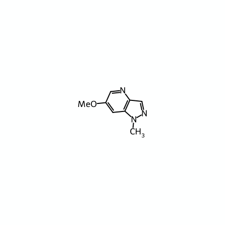 COc1cnc2cnn(C)c2c1